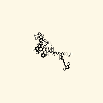 CC[C@@]1(O)C(=O)OCc2c1cc1n(c2=O)Cc2c-1nc1cc(F)c(C)c3c1c2[C@@H](N(CC(N)=O)C(=O)[C@H](Cc1ccccc1)NC(=O)CNC(=O)COC[C@H](CC(=O)O)NC(=O)CCCCCN1C(=O)C=CC1=O)CC3